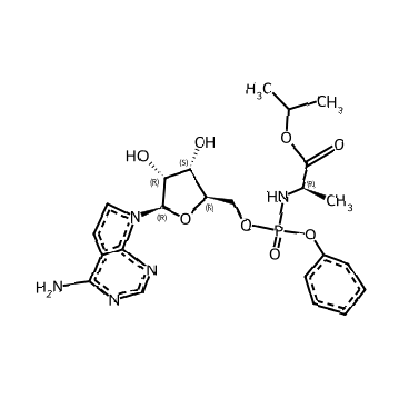 CC(C)OC(=O)[C@@H](C)NP(=O)(OC[C@H]1O[C@@H](n2ccc3c(N)ncnc32)[C@H](O)[C@@H]1O)Oc1ccccc1